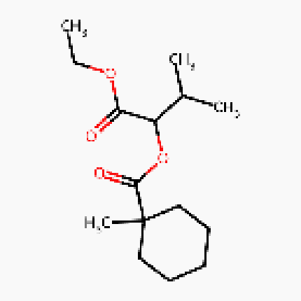 CCOC(=O)C(OC(=O)C1(C)CCCCC1)C(C)C